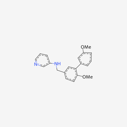 COc1cccc(-c2cc(CNc3cccnc3)ccc2OC)c1